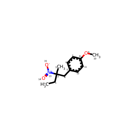 CCC(C)(Cc1ccc(OC)cc1)[N+](=O)[O-]